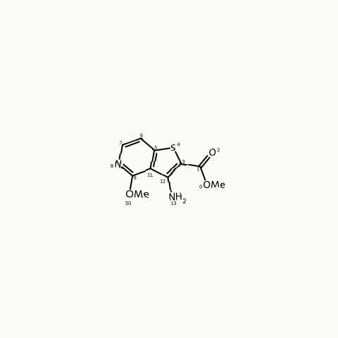 COC(=O)c1sc2ccnc(OC)c2c1N